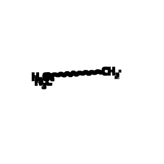 [CH2]CCCCCCCCCCCCCCCCC(CC)CC